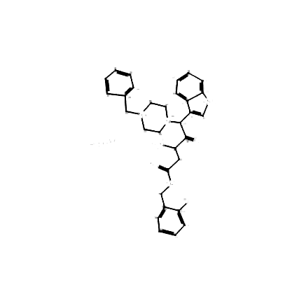 Cl.Cl.NC(CC(=O)NCc1ccccc1Cl)C(=O)C(c1c[nH]c2ccccc12)N1CCN(Cc2ccccc2)CC1